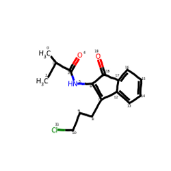 CC(C)C(=O)NC1=C(CCCCl)c2ccccc2C1=O